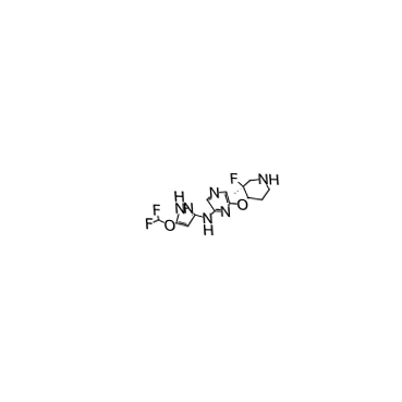 C[C@]1(F)CNCC[C@@H]1Oc1cncc(Nc2cc(OC(F)F)[nH]n2)n1